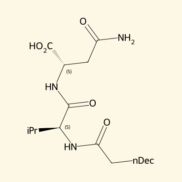 CCCCCCCCCCCC(=O)N[C@H](C(=O)N[C@@H](CC(N)=O)C(=O)O)C(C)C